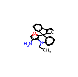 CCN1c2ccccc2C2(c3ccccc3-c3ccccc32)c2occ(N)c21